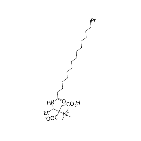 CCC(NC(=O)CCCCCCCCCCCCCCC(C)C)C(CC(=O)O)(C(=O)[O-])[N+](C)(C)C